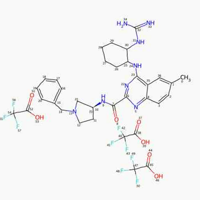 Cc1ccc2nc(C(=O)N[C@H]3CCN(Cc4ccccc4)C3)nc(NC3CCCCC3NC(=N)N)c2c1.O=C(O)C(F)(F)F.O=C(O)C(F)(F)F.O=C(O)C(F)(F)F